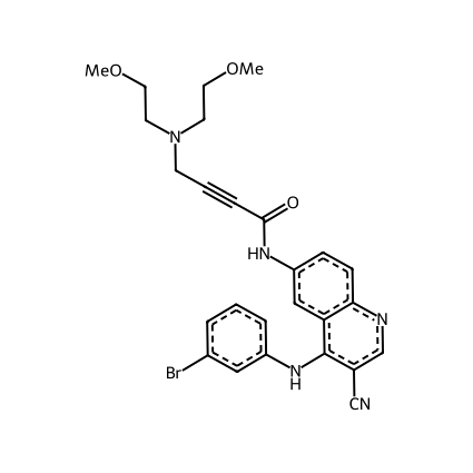 COCCN(CC#CC(=O)Nc1ccc2ncc(C#N)c(Nc3cccc(Br)c3)c2c1)CCOC